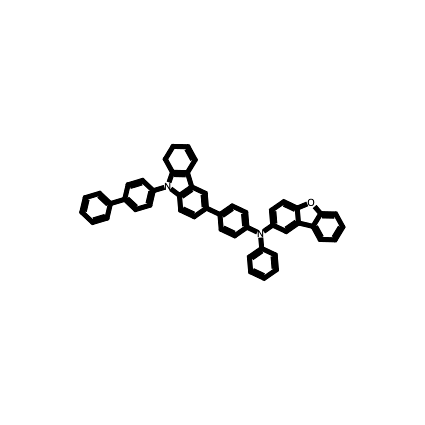 C1=Cc2c(n(-c3ccc(-c4ccccc4)cc3)c3ccc(-c4ccc(N(c5ccccc5)c5ccc6oc7ccccc7c6c5)cc4)cc23)CC1